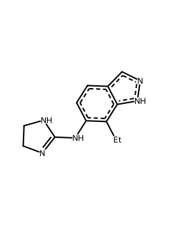 CCc1c(NC2=NCCN2)ccc2cn[nH]c12